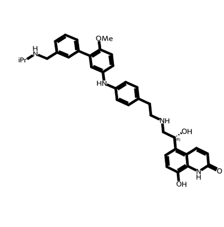 COc1ccc(Nc2ccc(CCNC[C@H](O)c3ccc(O)c4[nH]c(=O)ccc34)cc2)cc1-c1cccc(CNC(C)C)c1